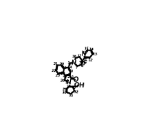 O=C1c2cc(CN3CCC(F)(c4ccccn4)CC3)c3ccccc3c2CN1[C@H]1CCCC[C@@H]1O